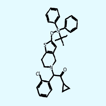 CC(C)(C)[Si](Oc1cc2c(s1)CCN(C(C(=O)C1CC1)c1ccccc1Cl)C2)(c1ccccc1)c1ccccc1